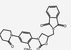 COc1cc(N2CCCCC2=O)ccc1N1CC(CN2C(=O)c3ccccc3C2=O)OC1=O